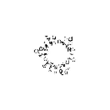 C#C[C@H]1C(=O)O[C@H](CCl)C(=O)N(C)CC(=O)O[C@H](CCl)C(=O)N(C)[C@@H](C)C(=O)O[C@H](CCl)C(=O)N1C